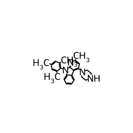 Cc1cc(C)c(-n2c3ccccc3c3c(N4CCNCC4)cc(C)nc32)c(C)c1